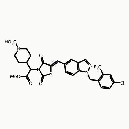 COC(=O)C(C1CCN(C(=O)O)CC1)N1C(=O)S/C(=C\c2ccc3c(cnn3Cc3ccc(Cl)cc3C(F)(F)F)c2)C1=O